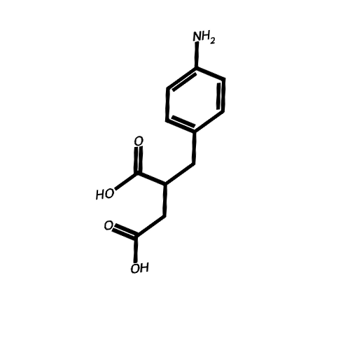 Nc1ccc(CC(CC(=O)O)C(=O)O)cc1